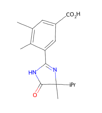 Cc1cc(C(=O)O)cc(C2=NC(C)(C(C)C)C(=O)N2)c1C